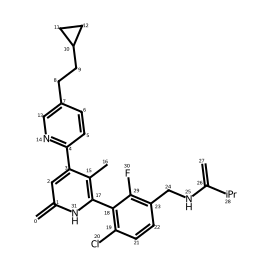 C=C1C=C(c2ccc(CCC3CC3)cn2)C(C)=C(c2c(Cl)ccc(CNC(=C)C(C)C)c2F)N1